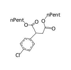 CCCCCOC(=O)CC(C(=O)OCCCCC)c1ccc(Cl)cc1